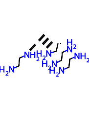 C=C.C=C.C=C.C=C.NCCN.NCCN.NCCN.[CH2]CN